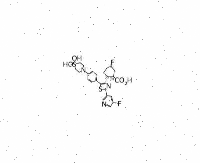 O=C(O)[C@@H]1C[C@@H](F)CC[C@H]1c1nc(-c2cncc(F)c2)sc1-c1ccc(N2CCS(O)(O)CC2)cc1